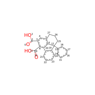 O=C(O)c1cc2c(cc1C(=O)O)C(c1ccccc1)(c1ccccc1)CCC2